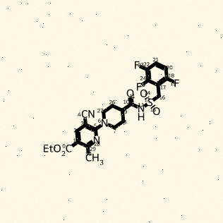 CCOC(=O)c1cc(C#N)c(N2CCC(C(=O)NS(=O)(=O)Cc3c(F)ccc(F)c3F)CC2)nc1C